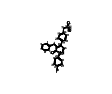 O=c1c(Cc2ccccc2)c(-c2ccc(C[SH](=O)=O)cc2)cnn1-c1ccc(F)cc1